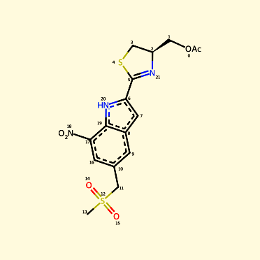 CC(=O)OC[C@@H]1CSC(c2cc3cc(CS(C)(=O)=O)cc([N+](=O)[O-])c3[nH]2)=N1